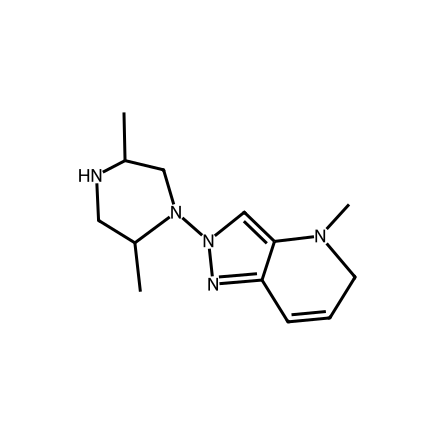 CC1CN(n2cc3c(n2)C=CCN3C)C(C)CN1